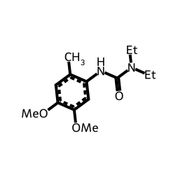 CCN(CC)C(=O)Nc1cc(OC)c(OC)cc1C